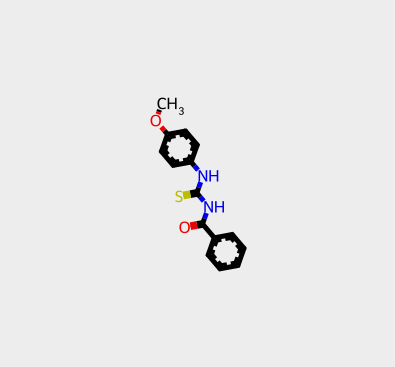 COc1ccc(NC(=S)NC(=O)c2ccccc2)cc1